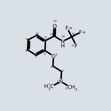 CN(C)CCOc1ccccc1C(=O)NC(F)(F)F